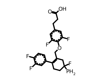 O=C(O)CCc1cc(F)c(OCC2=C(c3ccc(F)c(F)c3)CCC(F)(P)C2)c(F)c1